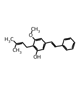 COc1cc(C=Cc2ccccc2)cc(O)c1CC=C(C)C